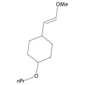 CCCOC1CCC(C=COC)CC1